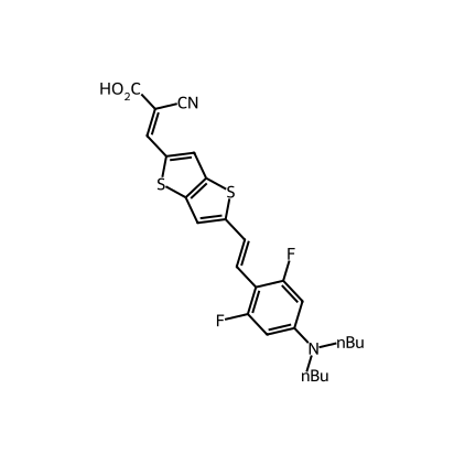 CCCCN(CCCC)c1cc(F)c(/C=C/c2cc3sc(/C=C(\C#N)C(=O)O)cc3s2)c(F)c1